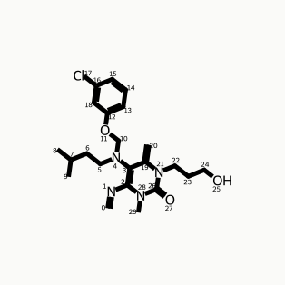 C=NC1=C(N(CCC(C)C)COc2cccc(Cl)c2)C(=C)N(CCCO)C(=O)N1C